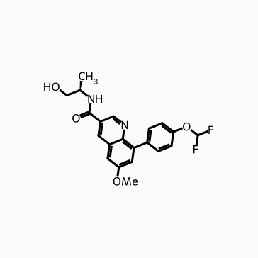 COc1cc(-c2ccc(OC(F)F)cc2)c2ncc(C(=O)N[C@H](C)CO)cc2c1